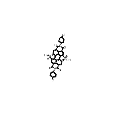 O=C1c2ccc3c4c(S(=O)(=O)O)cc5c6c(ccc(c7c(S(=O)(=O)O)cc(c2c37)C(=O)N1c1ccc(Cl)cc1)c64)C(=O)N(c1ccc(Cl)cc1)C5=O